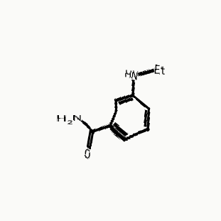 CCNc1cccc(C(N)=O)c1